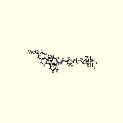 COc1ccc2c(c1)CCN(c1ccc(F)cc1)C2(C)c1ccc(/C=C/c2cn(COCC[Si](C)(C)C)cn2)cc1